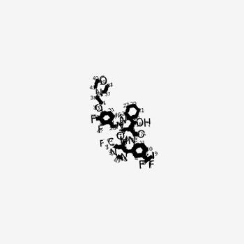 Cc1c(-c2cc(C(F)(F)I)ccc2NC(=O)C2=C(O)C3(CCCCC3)N(C)N(Cc3ccc(OCCN4CCOCC4)c(F)c3F)C2=O)ncnc1C(F)(F)F